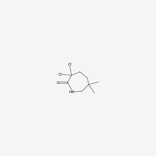 CC1(C)CCC(Cl)(Cl)C(=O)NC1